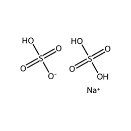 O=S(=O)(O)O.O=S(=O)([O-])O.[Na+]